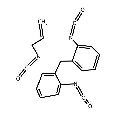 C=CCN=C=O.O=C=Nc1ccccc1Cc1ccccc1N=C=O